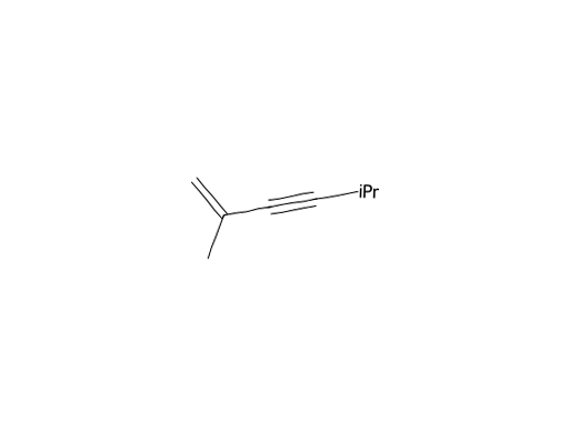 C=C(C)C#CC(C)C